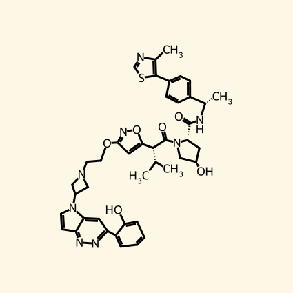 Cc1ncsc1-c1ccc([C@H](C)NC(=O)[C@@H]2C[C@@H](O)CN2C(=O)[C@@H](c2cc(OCCN3CC(n4ccc5nnc(-c6ccccc6O)cc54)C3)no2)C(C)C)cc1